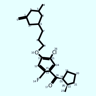 C=C1CC(C)CC(CCCOc2cc(F)c(C(=O)[C@H]3CCC[C@H]3C)cc2Cl)C1